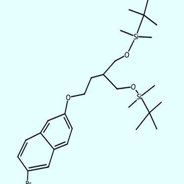 CC(C)(C)[Si](C)(C)OCC(CCOc1ccc2cc(Br)ccc2c1)CO[Si](C)(C)C(C)(C)C